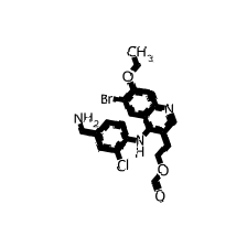 CCOc1cc2ncc(CCOC=O)c(Nc3ccc(CN)cc3Cl)c2cc1Br